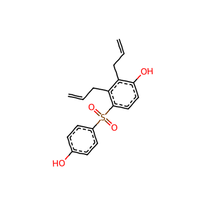 C=CCc1c(O)ccc(S(=O)(=O)c2ccc(O)cc2)c1CC=C